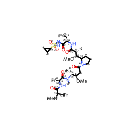 CC[C@H](C)[C@@H]([C@@H](CC(=O)N1CCCC1[C@H](OC)[C@@H](C)C(=O)N[C@@H](CC(C)C)C(=O)NS(=O)(=O)C1CC1)OC)N(C)C(=O)[C@@H](NC(=O)C(NC)C(C)C)C(C)C